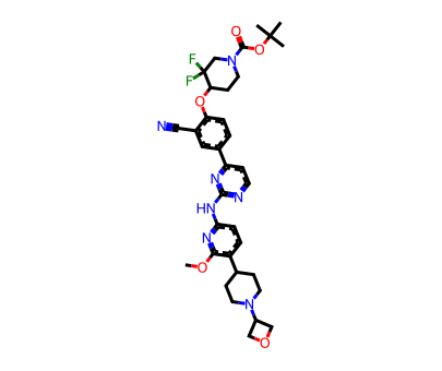 COc1nc(Nc2nccc(-c3ccc(OC4CCN(C(=O)OC(C)(C)C)CC4(F)F)c(C#N)c3)n2)ccc1C1CCN(C2COC2)CC1